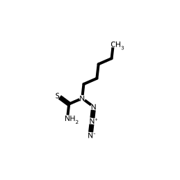 CCCCCN(N=[N+]=[N-])C(N)=S